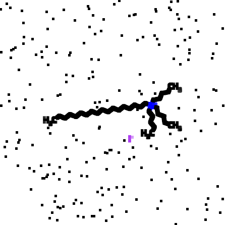 CCCCCCCCCCCCCCCCCC[N+](CCCCC)(CCCCC)CCCCC.[I-]